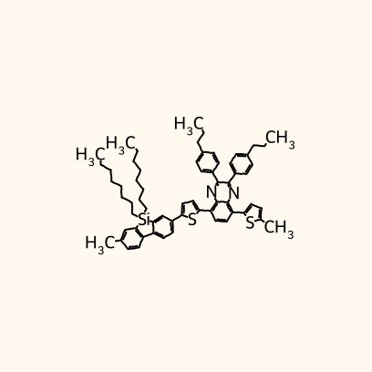 CCCCCCCC[Si]1(CCCCCCCC)c2cc(C)ccc2-c2ccc(-c3ccc(-c4ccc(-c5ccc(C)s5)c5nc(-c6ccc(CCC)cc6)c(-c6ccc(CCC)cc6)nc45)s3)cc21